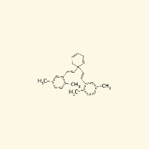 Cc1ccc(C)c(C=CC2(C=Cc3cc(C)ccc3C)C=CC=CC2)c1